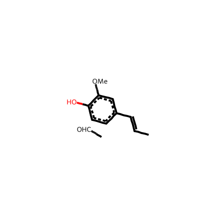 CC=Cc1ccc(O)c(OC)c1.CC=O